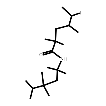 CC(I)C(C)CC(C)(C)C(=O)NC(C)(C)CC(C)(C)C(C)C